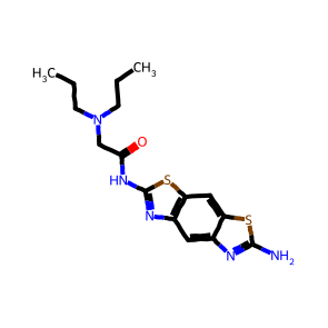 CCCN(CCC)CC(=O)Nc1nc2cc3nc(N)sc3cc2s1